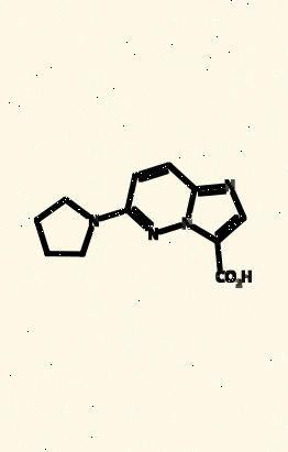 O=C(O)c1cnc2ccc(N3CCCC3)nn12